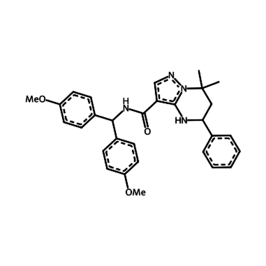 COc1ccc(C(NC(=O)c2cnn3c2NC(c2ccccc2)CC3(C)C)c2ccc(OC)cc2)cc1